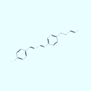 CC/C=C/CCc1ccc(C=NN=Cc2ccc(CCCC)cc2)cc1